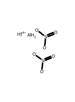 O=[Si]([O-])[O-].O=[Si]([O-])[O-].[AlH3].[Hf+4]